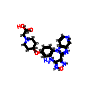 Nc1nonc1-c1nc2cnccc2n1-c1ccc(OC2CCN(CC(=O)O)CC2)cc1